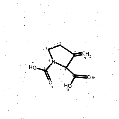 C=C1CCN(C(=O)O)C1C(=O)O